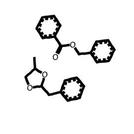 CC1COC(Cc2ccccc2)O1.O=C(OCc1ccccc1)c1ccccc1